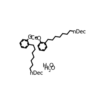 CCCCCCCCCCCCCCCCCc1ccccc1[O][Co][O]c1ccccc1CCCCCCCCCCCCCCCCC.O.O